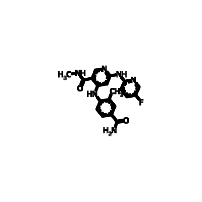 CNC(=O)c1cnc(Nc2ccc(F)cn2)cc1Nc1ccc(C(N)=O)cc1C